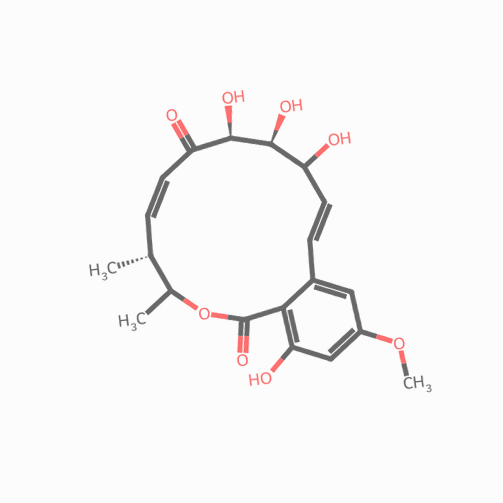 COc1cc(O)c2c(c1)/C=C/C(O)[C@H](O)[C@H](O)C(=O)/C=C\[C@@H](C)C(C)OC2=O